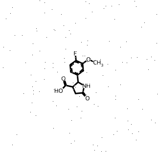 COc1cc(C2NC(=O)CC2C(=O)O)ccc1F